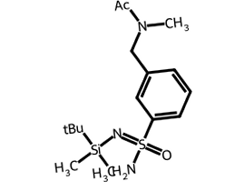 CC(=O)N(C)Cc1cccc(S(N)(=O)=N[Si](C)(C)C(C)(C)C)c1